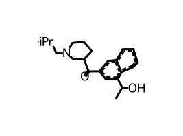 C[C](C)CN1CCCC(C(=O)c2cc(C(C)O)c3ccccc3c2)C1